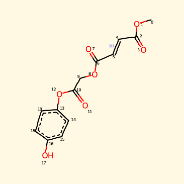 COC(=O)/C=C/C(=O)OCC(=O)Oc1ccc(O)cc1